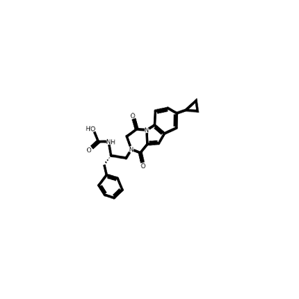 O=C(O)N[C@@H](Cc1ccccc1)CN1CC(=O)n2c(cc3cc(C4CC4)ccc32)C1=O